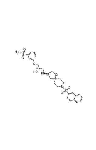 CS(=O)(=O)c1cccc(OC[C@@H](O)CN[C@H]2COC3(CCN(S(=O)(=O)c4ccc5ccccc5c4)CC3)C2)c1